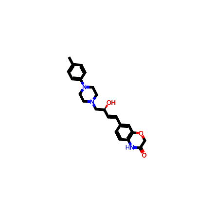 Cc1ccc(N2CCN(C[C@@H](O)/C=C/c3ccc4c(c3)OCC(=O)N4)CC2)cc1